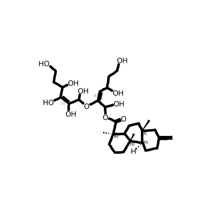 C=C1CC[C@@H]2[C@](C)(CCC3[C@](C)(C(=O)OC(O)/C(=C\C(O)CCO)OC(O)/C(O)=C(/O)C(O)CCO)CCC[C@]32C)C1